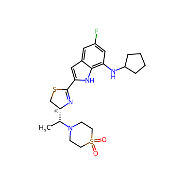 CC([C@@H]1CSC(c2cc3cc(F)cc(NC4CCCC4)c3[nH]2)=N1)N1CCS(=O)(=O)CC1